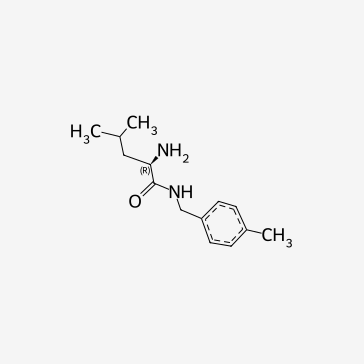 Cc1ccc(CNC(=O)[C@H](N)CC(C)C)cc1